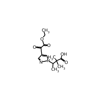 CCOC(=O)C(=O)c1cnn(C(C)C(C)(C)C(=O)O)c1